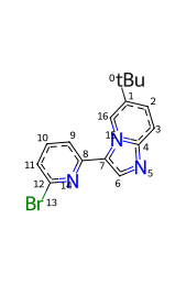 CC(C)(C)c1ccc2ncc(-c3cccc(Br)n3)n2c1